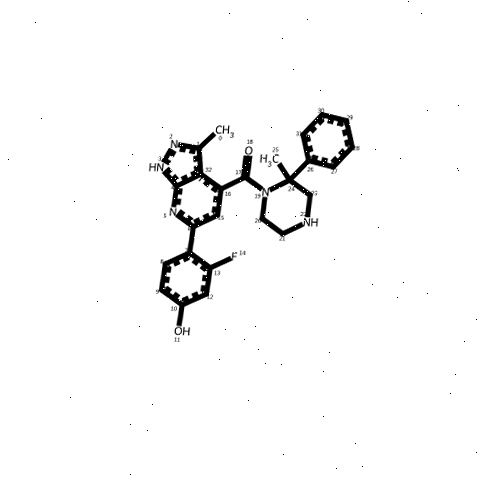 Cc1n[nH]c2nc(-c3ccc(O)cc3F)cc(C(=O)N3CCNCC3(C)c3ccccc3)c12